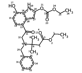 CCOC(=O)CC(C)(C)N(CC(=O)c1ccc(O)c2[nH]c(OC(=O)OCC)cc12)Cc1ccccc1